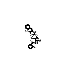 O=C(NC1Cc2ccccc2NC1=O)Oc1n[nH]c(NC(=O)c2ccccc2Cl)c1Br